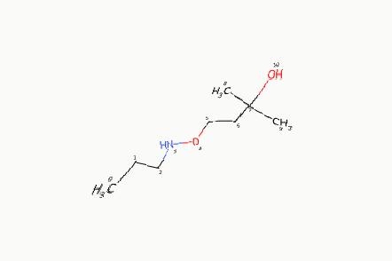 CCCNOCCC(C)(C)O